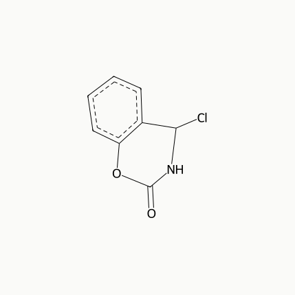 O=C1NC(Cl)c2ccccc2O1